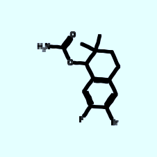 CC1(C)CCc2cc(Br)c(F)cc2C1OC(N)=O